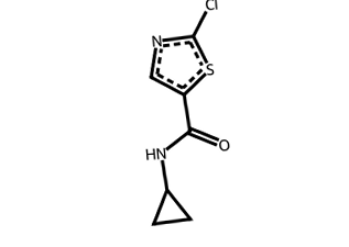 O=C(NC1CC1)c1cnc(Cl)s1